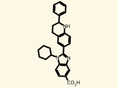 O=C(O)c1ccc2c(c1)nc(-c1ccc3c(c1)CCC(c1ccccc1)N3)n2C1CCCCC1